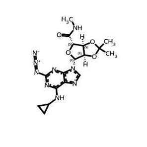 CNC(=O)[C@H]1O[C@@H](n2cnc3c(NC4CC4)nc(N=[N+]=[N-])nc32)[C@@H]2OC(C)(C)O[C@@H]21